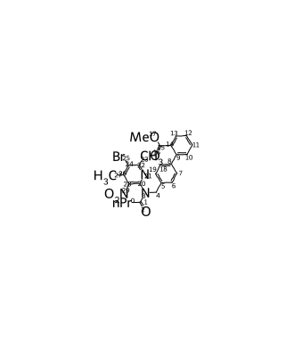 CCCC(=O)N(Cc1ccc(-c2ccccc2C(=O)OC)cc1)c1nc(C)c(Br)c(C)c1[N+](=O)[O-]